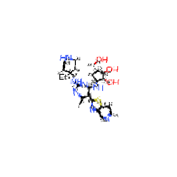 CCC1(CNc2nc(C)c(-c3nc4cnccc4s3)c(NC3C[C@H](CO)[C@@H](O)[C@H]3O)n2)CCNCC1